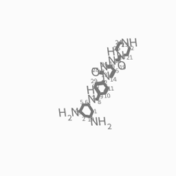 NC1CC(N)CC(NCc2ccc(-n3ccc(NC(=O)N4CCNCC4)nc3=O)cc2)C1